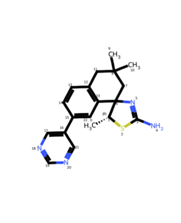 C[C@H]1SC(N)=NC12CC(C)(C)Cc1ccc(-c3cncnc3)cc12